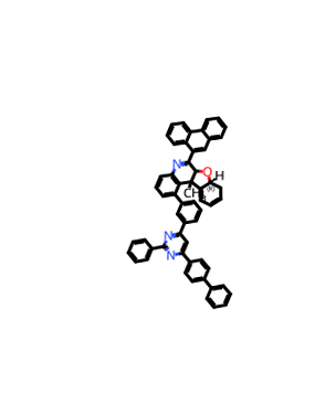 CC12C3=CC=CC[C@H]3OC1C(c1cc3ccccc3c3ccccc13)=Nc1cccc(-c3cccc(-c4cc(-c5ccc(-c6ccccc6)cc5)nc(-c5ccccc5)n4)c3)c12